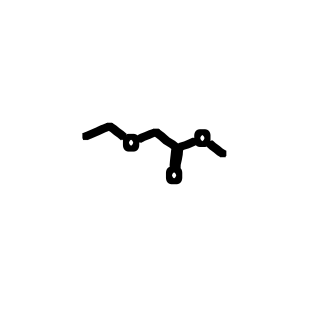 CCOCC(=O)OC